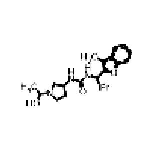 Cc1c(C(NC(=O)NC2CCN(C(C)O)C2)C(C)C)oc2ccccc12